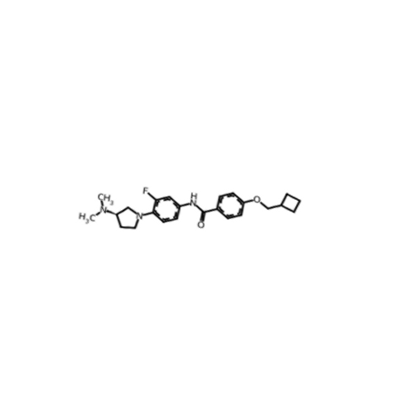 CN(C)[C@@H]1CCN(c2ccc(NC(=O)c3ccc(OCC4CCC4)cc3)cc2F)C1